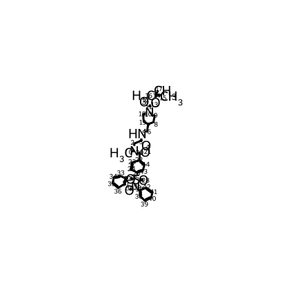 CN(CC(=O)NCC1CCN(C(=O)OC(C)(C)C)CC1)C(=O)c1ccc(S(=O)(=O)N(Oc2ccccc2)c2ccccc2)cc1